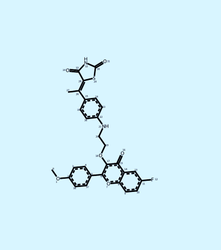 COc1ccc(-c2oc3ccc(F)cc3c(=O)c2OCCNc2ccc(/C(C)=C3\SC(=O)NC3=O)cc2)cc1